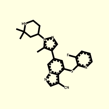 Cc1c(-c2cc(Sc3ncccc3F)c3c(C#N)cnn3c2)cnn1C1CCNC(C)(C)C1